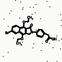 CCOc1c2c(c(OCC)c3ccc(Br)cc13)C(=O)N(c1ccc(CC(=O)O)cc1)C2